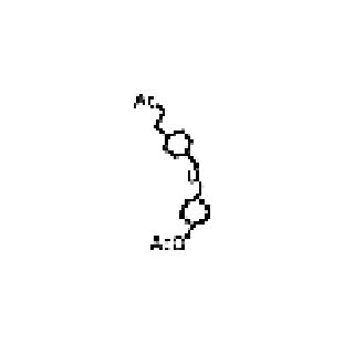 CC(=O)CCC1CCC(COCC2CCC(COC(C)=O)CC2)CC1